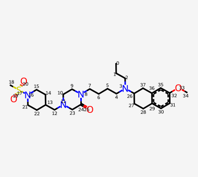 CCCN(CCCCN1CCN(CC2CCN(S(C)(=O)=O)CC2)CC1=O)C1CCc2ccc(OC)cc2C1